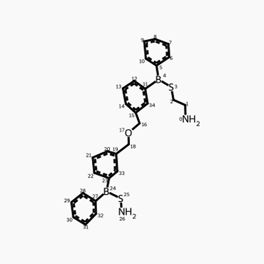 NCCSB(c1ccccc1)c1cccc(COCc2cccc(B(SN)c3ccccc3)c2)c1